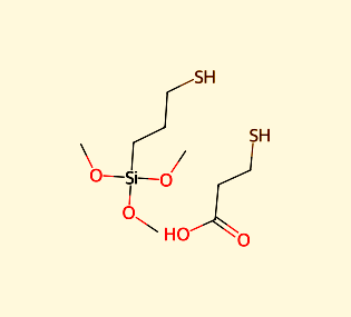 CO[Si](CCCS)(OC)OC.O=C(O)CCS